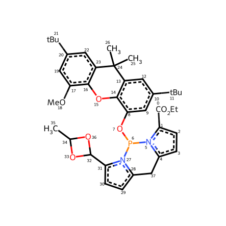 CCOC(=O)c1ccc2n1P(Oc1cc(C(C)(C)C)cc3c1Oc1c(OC)cc(C(C)(C)C)cc1C3(C)C)n1c(ccc1C1OC(C)O1)C2